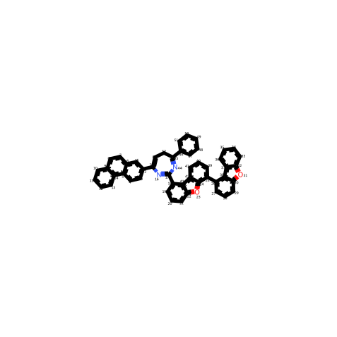 C1=C(c2ccc3c(ccc4ccccc43)c2)N=C(c2cccc3oc4c(-c5cccc6oc7ccccc7c56)cccc4c23)N=C(c2ccccc2)C1